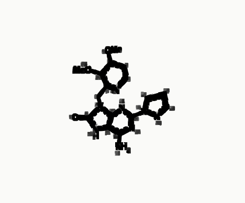 COc1ccnc(Cn2c(=O)[nH]c3c(N)nc(-n4cccn4)nc32)c1OC